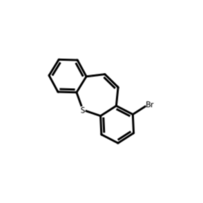 Brc1cccc2c1C=Cc1ccccc1S2